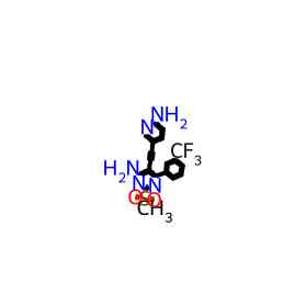 CS(=O)(=O)c1nc(N)c(C#Cc2ccc(N)nc2)c(-c2cccc(C(F)(F)F)c2)n1